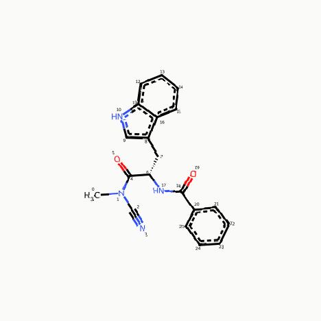 CN(C#N)C(=O)[C@H](Cc1c[nH]c2ccccc12)NC(=O)c1ccccc1